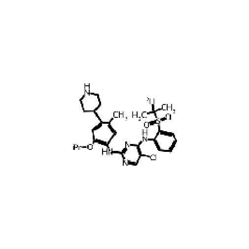 [2H]C(C)(C)S(=O)(=O)c1ccccc1Nc1nc(Nc2cc(C)c(C3CCNCC3)cc2OC(C)C)ncc1Cl